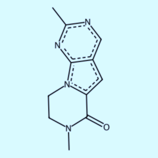 Cc1ncc2cc3n(c2n1)CCN(C)C3=O